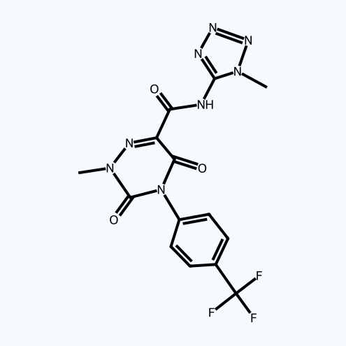 Cn1nnnc1NC(=O)c1nn(C)c(=O)n(-c2ccc(C(F)(F)F)cc2)c1=O